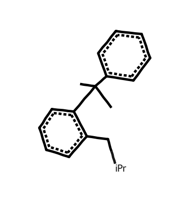 CC(C)Cc1ccccc1C(C)(C)c1ccccc1